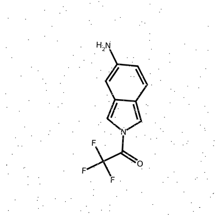 Nc1ccc2cn(C(=O)C(F)(F)F)cc2c1